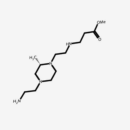 COC(=O)CCNCCN1CCN(CCN)C[C@@H]1C